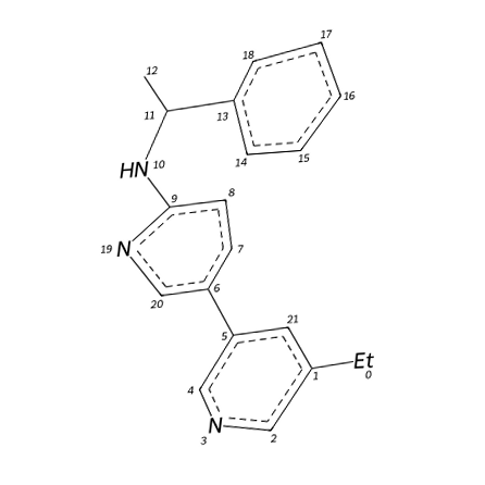 CCc1cncc(-c2ccc(NC(C)c3ccccc3)nc2)c1